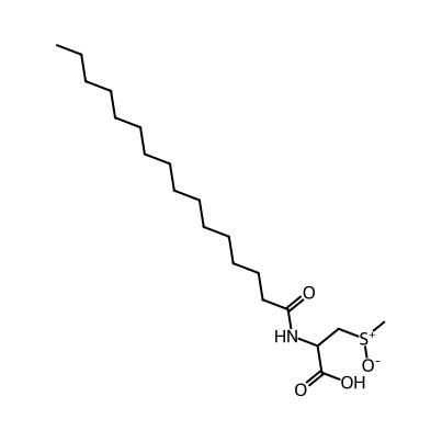 CCCCCCCCCCCCCCCC(=O)NC(C[S+](C)[O-])C(=O)O